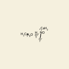 O.O.O=[NH+][O-].[CaH2].[CaH2]